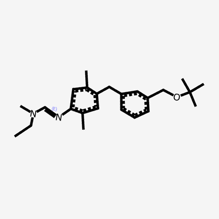 CCN(C)/C=N/c1cc(C)c(Cc2cccc(COC(C)(C)C)c2)cc1C